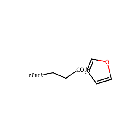 CCCCCCCC(=O)O.c1ccoc1